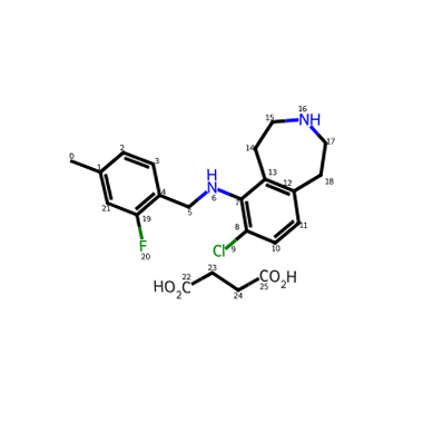 Cc1ccc(CNc2c(Cl)ccc3c2CCNCC3)c(F)c1.O=C(O)CCC(=O)O